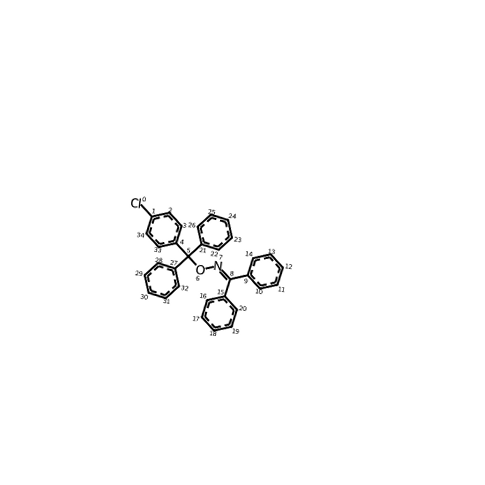 Clc1ccc(C(ON=C(c2ccccc2)c2ccccc2)(c2ccccc2)c2ccccc2)cc1